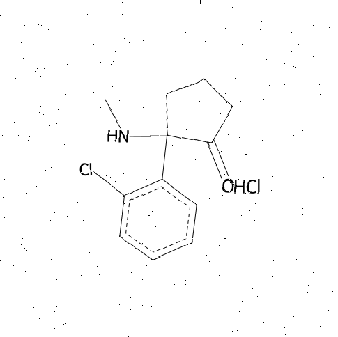 CNC1(c2ccccc2Cl)CCCC1=O.Cl